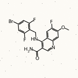 COc1cc2ncc(C(N)=O)c(NCc3c(F)cc(Br)cc3F)c2cc1F